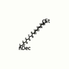 CCCCCCCCCCCCCCCCCCCCCCCCC[CH]OCC